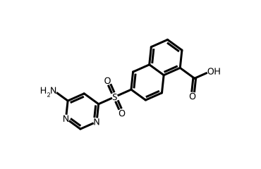 Nc1cc(S(=O)(=O)c2ccc3c(C(=O)O)cccc3c2)ncn1